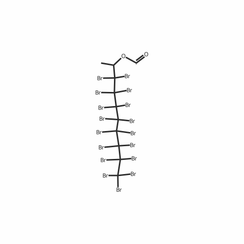 CC(O[C]=O)C(Br)(Br)C(Br)(Br)C(Br)(Br)C(Br)(Br)C(Br)(Br)C(Br)(Br)C(Br)(Br)C(Br)(Br)Br